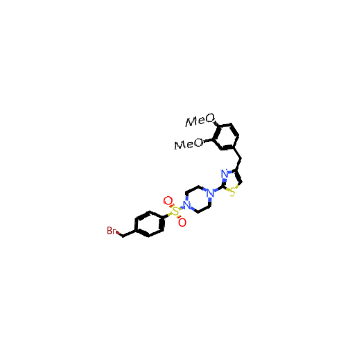 COc1ccc(Cc2csc(N3CCN(S(=O)(=O)c4ccc(CBr)cc4)CC3)n2)cc1OC